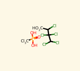 O=C(O)C(Cl)C(Cl)(Cl)C(Cl)Cl.O=P(O)(O)C(Cl)(Cl)Cl